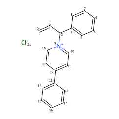 C=CC(c1ccccc1)[n+]1ccc(-c2ccccc2)cc1.[Cl-]